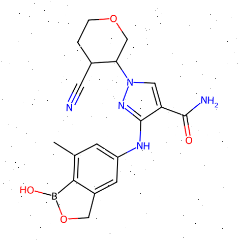 Cc1cc(Nc2nn(C3COCCC3C#N)cc2C(N)=O)cc2c1B(O)OC2